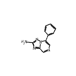 Nc1nc2cncc(-c3ccccc3)n2n1